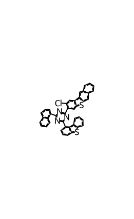 Clc1cc2c(cc1-c1nc(-c3cccc4ccccc34)nc(-c3cccc4sc5ccccc5c34)n1)sc1cc3ccccc3cc12